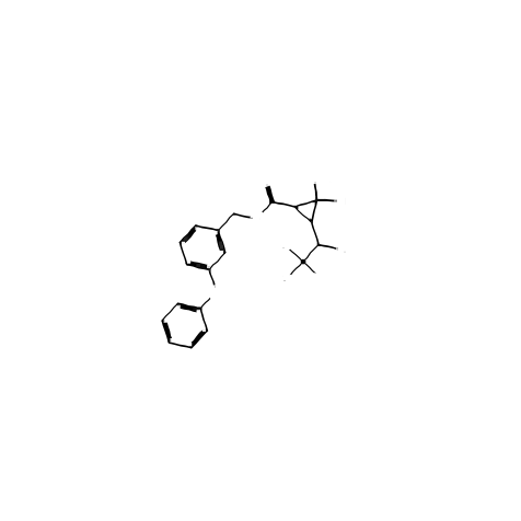 CC1(C)C(C(=O)OCc2cccc(Oc3ccccc3)c2)C1C(Br)C(Br)(Br)Br